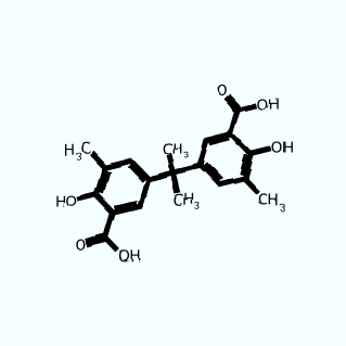 Cc1cc(C(C)(C)c2cc(C)c(O)c(C(=O)O)c2)cc(C(=O)O)c1O